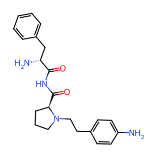 Nc1ccc(CCN2CCC[C@H]2C(=O)NC(=O)[C@H](N)Cc2ccccc2)cc1